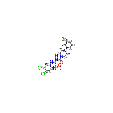 COc1nc2cc(Cl)c(Cl)cc2nc1NC(=O)N1CCN(c2cccc(Br)c2)CC1